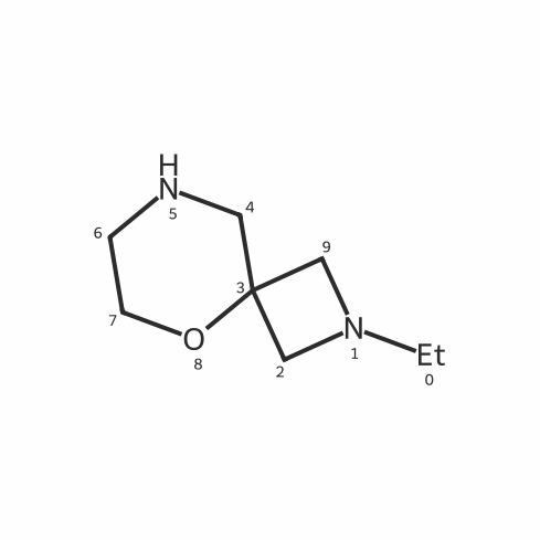 CCN1CC2(CNCCO2)C1